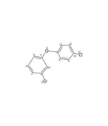 [O]c1cccc(Oc2ccc(Cl)cc2)c1